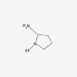 CCN1CCCC1N